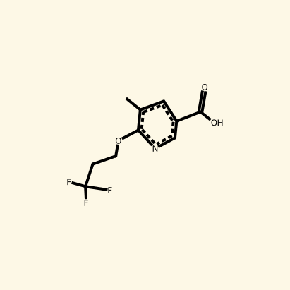 Cc1cc(C(=O)O)cnc1OCCC(F)(F)F